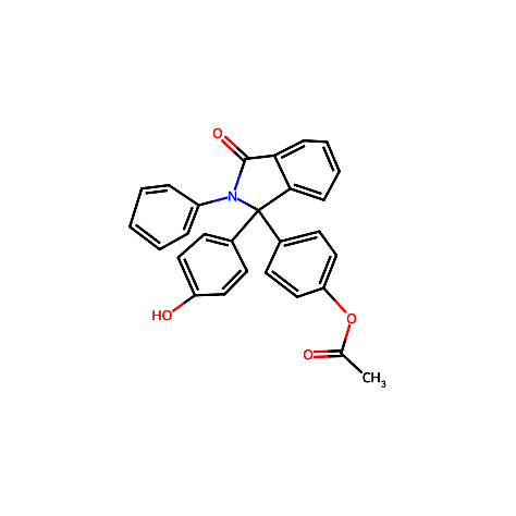 CC(=O)Oc1ccc(C2(c3ccc(O)cc3)c3ccccc3C(=O)N2c2ccccc2)cc1